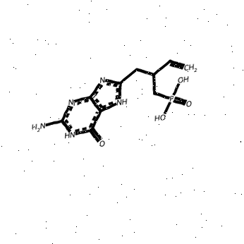 C=CC(Cc1nc2nc(N)[nH]c(=O)c2[nH]1)CP(=O)(O)O